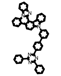 c1ccc(-c2nc(-c3ccccc3)nc(-c3ccc(-c4cccc(-n5c6ccccc6c6c7c(ccc65)c5ccccc5n5c6ccccc6nc75)c4)cc3)n2)cc1